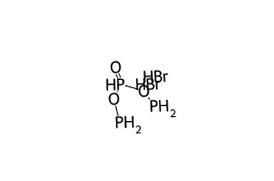 Br.Br.O=[PH](OP)OP